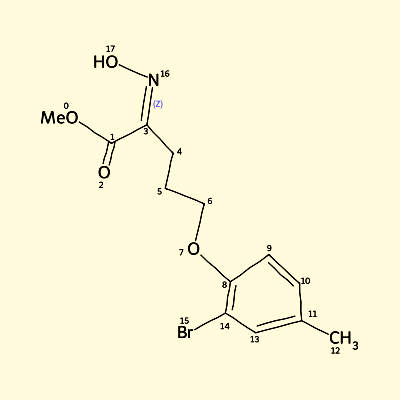 COC(=O)/C(CCCOc1ccc(C)cc1Br)=N\O